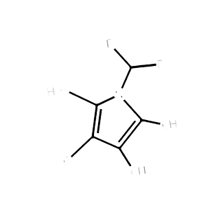 Cc1c(C)c(C)n(C(F)F)c1C